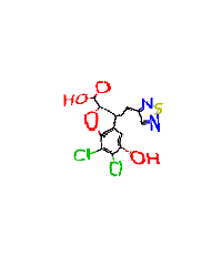 O=C(O)C1Oc2c(cc(O)c(Cl)c2Cl)C1Cc1cnsn1